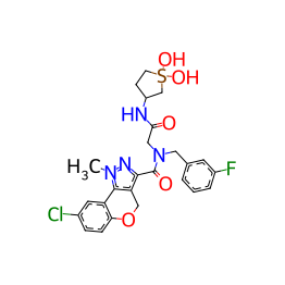 Cn1nc(C(=O)N(CC(=O)NC2CCS(O)(O)C2)Cc2cccc(F)c2)c2c1-c1cc(Cl)ccc1OC2